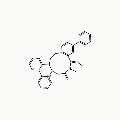 C=C1CC2C(CCc3ccc(-c4ccccc4)cc3/C(=C/C)N1C)c1ccccc1-c1cccc[n+]12